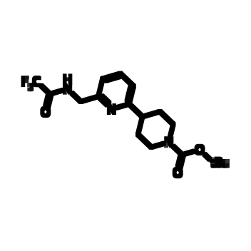 CC(C)(C)OC(=O)N1CCC(c2cccc(CNC(=O)C(F)(F)F)n2)CC1